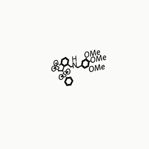 COc1cc(CNCc2cccc3c2C(S(=O)(=O)c2ccccc2)CS3(=O)=O)cc(OC)c1OC